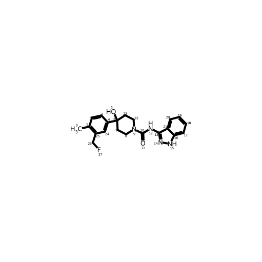 Cc1ccc(C2(O)CCN(C(=O)Nc3n[nH]c4ccccc34)CC2)cc1CF